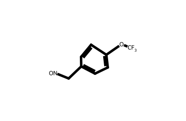 O=NCc1ccc(OC(F)(F)F)cc1